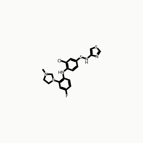 CN1CCN(c2cc(F)ccc2Nc2ccc(SNc3cscn3)cc2Cl)C1